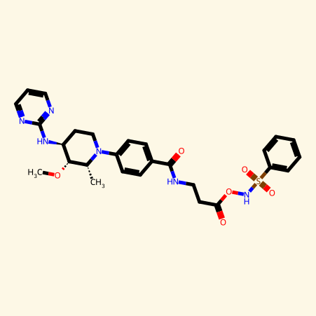 CO[C@@H]1[C@@H](Nc2ncccn2)CCN(c2ccc(C(=O)NCCC(=O)ONS(=O)(=O)c3ccccc3)cc2)[C@@H]1C